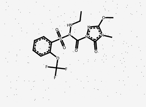 CCNN(C(=O)n1nc(OC)n(C)c1=O)S(=O)(=O)c1ccccc1OC(F)(F)F